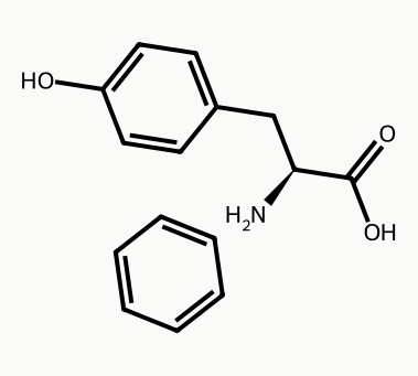 N[C@@H](Cc1ccc(O)cc1)C(=O)O.c1ccccc1